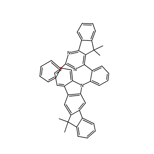 CC1(C)c2ccccc2-c2cc3c(cc21)c1ccccc1n3-c1ccccc1-c1nc(-c2ccccc2)nc2c1C(C)(C)c1ccccc1-2